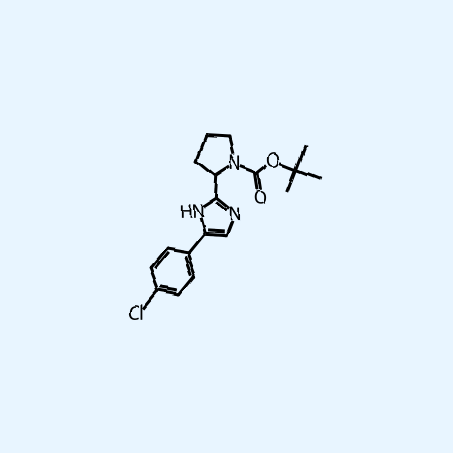 CC(C)(C)OC(=O)N1CCCC1c1ncc(-c2ccc(Cl)cc2)[nH]1